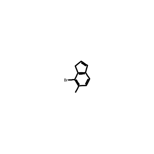 Cc1ccc2c(c1Br)CC=C2